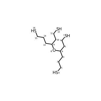 SCCCC(CCS)OC(CCS)CCCS